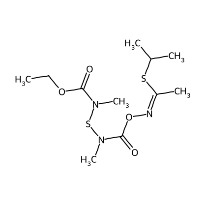 CCOC(=O)N(C)SN(C)C(=O)ON=C(C)SC(C)C